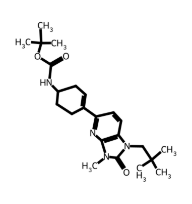 Cn1c(=O)n(CC(C)(C)C)c2ccc(C3=CCC(NC(=O)OC(C)(C)C)CC3)nc21